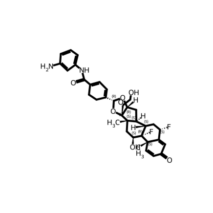 C[C@]12C=CC(=O)C=C1[C@@H](F)C[C@H]1[C@@H]3C[C@H]4O[C@@H](C5=CC=C(C(=O)Nc6cccc(N)c6)CC5)O[C@@]4(C(=O)CO)[C@@]3(C)C[C@H](O)[C@@]12F